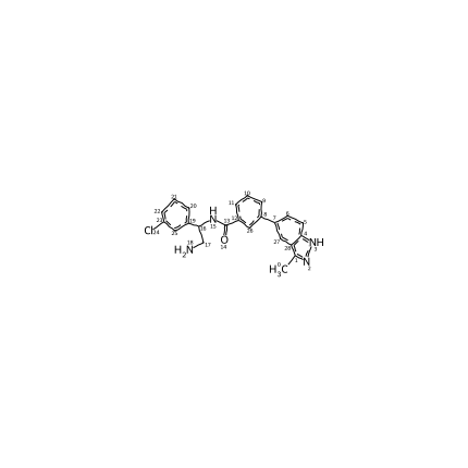 Cc1n[nH]c2ccc(-c3cccc(C(=O)NC(CN)c4cccc(Cl)c4)c3)cc12